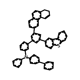 C1=Cc2c(ccc3ccc(-c4cc(-c5cccc(N(c6ccccc6)c6ccc(-c7ccccc7)cc6)c5)cc(-c5ccc6sc7ccccc7c6c5)c4)cc23)CC1